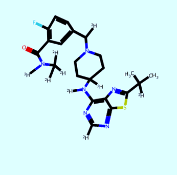 [2H]c1nc(N([2H])C2([2H])CCN(C([2H])c3ccc(F)c(C(=O)N([2H])C([2H])([2H])[2H])c3)CC2)c2nc(C([2H])(C)C)sc2n1